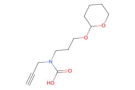 C#CCN(CCCOC1CCCCO1)C(=O)O